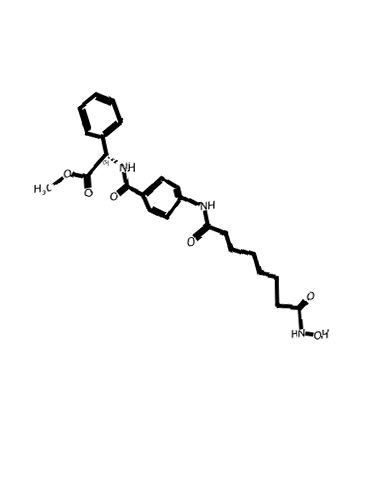 COC(=O)[C@@H](NC(=O)c1ccc(NC(=O)CCCCCCC(=O)NO)cc1)c1ccccc1